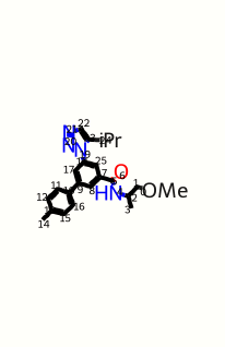 COCC(C)NC(=O)c1cc(-c2ccc(C)cc2)cc(-n2nncc2C(C)C)c1